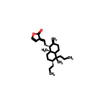 C=C1CCC2[C@](C)(CCC)[C@H](CCC)CC[C@@]2(C)[C@@H]1C/C=C1\C=COC1=O